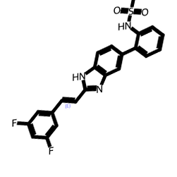 CS(=O)(=O)Nc1ccccc1-c1ccc2[nH]c(/C=C/c3cc(F)cc(F)c3)nc2c1